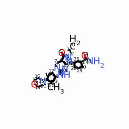 C=CCn1c(=O)c2cnc(Nc3ccc(N4CCOCC4)c(C)c3)nc2n1-c1cccc(C(N)=O)c1